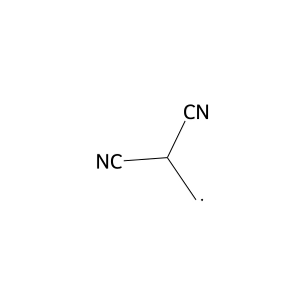 [CH2]C(C#N)C#N